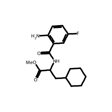 COC(=O)C(CC1CCCCC1)NC(=O)c1cc(F)ccc1N